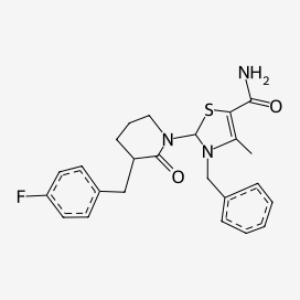 CC1=C(C(N)=O)SC(N2CCCC(Cc3ccc(F)cc3)C2=O)N1Cc1ccccc1